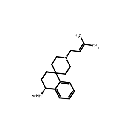 CC(=O)N[C@H]1CCC2(CCN(CC=C(C)C)CC2)c2ccccc21